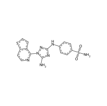 Nc1nc(Nc2ccc(S(N)(=O)=O)cc2)nn1-c1nccc2sccc12